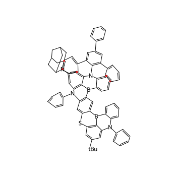 CC(C)(C)c1cc2c3c(c1)N(c1ccccc1)c1ccccc1B3c1cc3c(cc1S2)N(c1ccccc1)c1cc(N2C4CC5CC(C4)CC2C5)cc2c1B3c1ccccc1N2c1c(-c2ccccc2)cc(-c2ccccc2)cc1-c1ccccc1